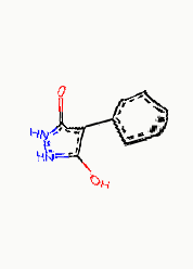 O=c1[nH][nH]c(O)c1-c1ccccc1